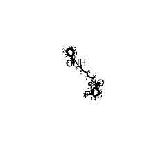 O=C(NCCCCCCn1sc2c(F)cccc2c1=O)c1ccccc1